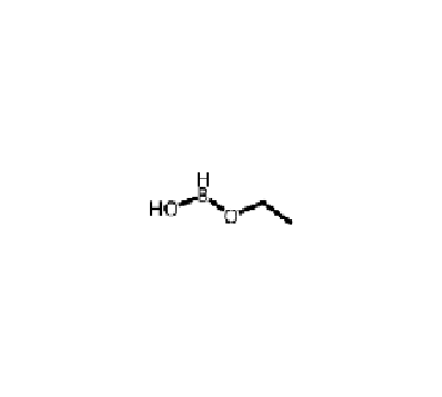 CCOBO